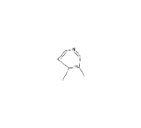 Cc1[c]cncc1C